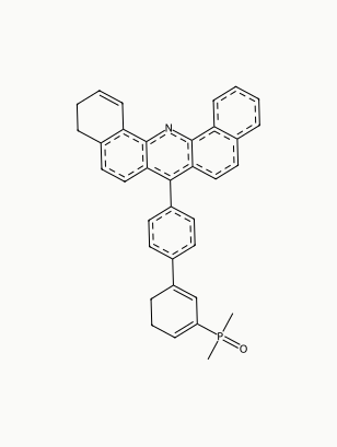 CP(C)(=O)C1=CCCC(c2ccc(-c3c4ccc5c(c4nc4c3ccc3ccccc34)C=CCC5)cc2)=C1